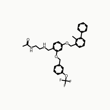 CC(=O)NCCNCc1ccc(OCc2cccc(-c3ccccc3)c2C)cc1OCc1cccc(OC(F)(F)F)c1